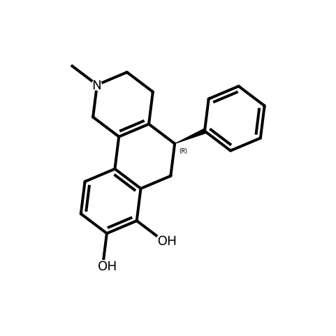 CN1CCC2=C(C1)c1ccc(O)c(O)c1C[C@@H]2c1ccccc1